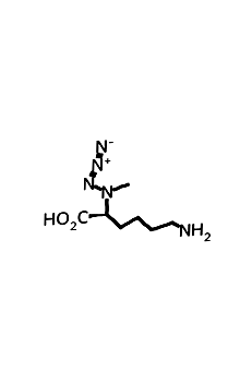 CN(N=[N+]=[N-])[C@@H](CCCCN)C(=O)O